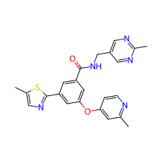 Cc1cc(Oc2cc(C(=O)NCc3cnc(C)nc3)cc(-c3ncc(C)s3)c2)ccn1